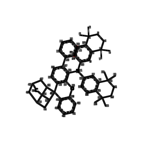 CC1(C)CCC(C)(C)c2cc(N(c3ccc4c(c3)C(C)(C)CCC4(C)C)c3c(-c4ccccc4)ccc4c3Oc3ccccc3C43C4CC5CC6CC3C64C5)ccc21